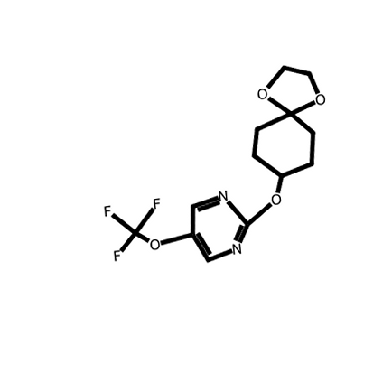 FC(F)(F)Oc1cnc(OC2CCC3(CC2)OCCO3)nc1